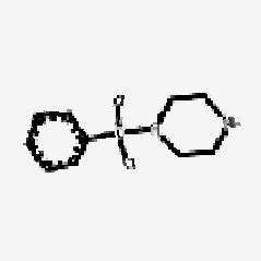 [Cl][Ti]([Cl])([c]1ccccc1)[N]1CCNCC1